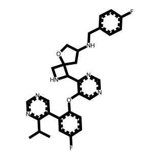 CC(C)c1ncncc1-c1cc(F)ccc1Oc1cncnc1C1NCC12CC(NCc1ccc(F)cc1)CO2